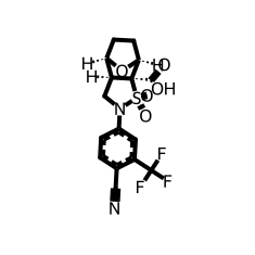 N#Cc1ccc(N2C[C@H]3[C@H]4CC[C@H](O4)[C@@]3(C(=O)O)S2(=O)=O)cc1C(F)(F)F